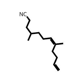 C=CCCC(C)=CCCC(C)CCC#N